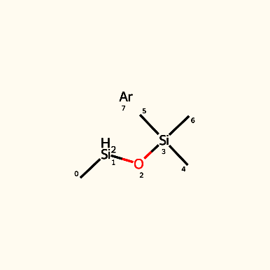 C[SiH2]O[Si](C)(C)C.[Ar]